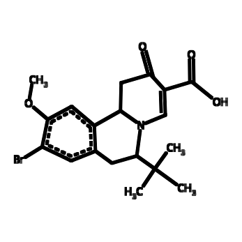 COc1cc2c(cc1Br)CC(C(C)(C)C)N1C=C(C(=O)O)C(=O)CC21